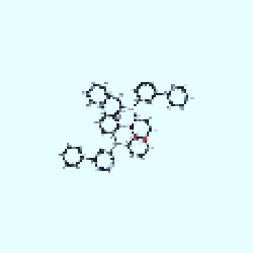 c1ccc(-c2cccc(N(c3ccccc3)c3ccc4c(c3)c(N(c3ccccc3)c3cccc(-c5ccccc5)c3)cc3ccccc34)c2)cc1